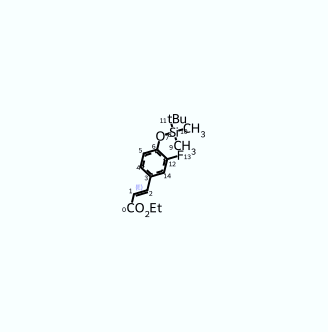 CCOC(=O)/C=C/c1ccc(O[Si](C)(C)C(C)(C)C)c(F)c1